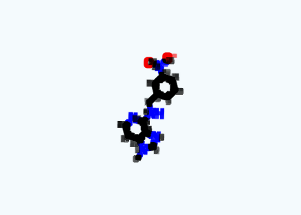 Cn1cnc2c(NCc3cccc([N+](=O)[O-])c3)nccc21